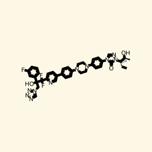 CC[C@@H]([C@H](C)O)n1ncn(-c2ccc(N3CCN(c4ccc(-c5ccc(C(F)(F)C(O)(Cn6cnnn6)c6cccc(F)c6)nc5)cc4)CC3)cc2)c1=O